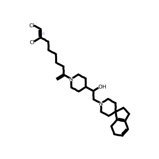 C=C(CCCCC/C(Cl)=C/Cl)N1CCC(C(O)CN2CCC3(CCC4=C3CCC=C4)CC2)CC1